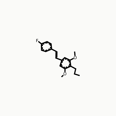 CCCc1c(OC)cc(/C=C/c2ccc(F)cc2)cc1OC